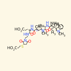 CN[C@H](C(=O)NC(C(=O)N(C)C/C=C(\C)C(=O)N[C@@H](CCC(=O)O)C(=O)NCCN1C(=O)CC(SCCC(=O)O)C1=O)C(C)(C)C)C(C)(C)c1cn(C)c2ccccc12